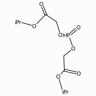 CC(C)OC(=O)CO[PH](=O)OCC(=O)OC(C)C